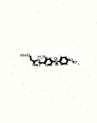 COCCc1noc(-c2ncc(S(=O)(=O)c3ccc(OC(F)(F)F)cc3)cc2N)n1